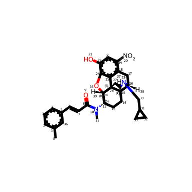 Cc1cccc(C=CC(=O)N(C)[C@H]2CC[C@H]3[C@H]4Cc5c([N+](=O)[O-])cc(O)c6c5[C@@]3(CCN4CC3CC3)[C@H]2O6)c1